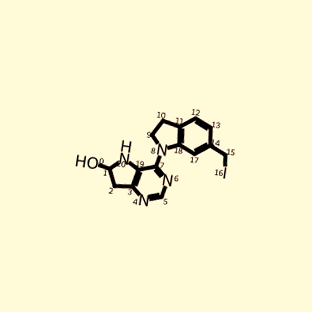 OC1Cc2ncnc(N3CCc4ccc(CI)cc43)c2N1